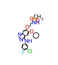 CS(=O)(=O)NCCOc1cc2ncnc(Nc3ccc(F)c(Cl)c3)c2cc1OC1CCCCC1